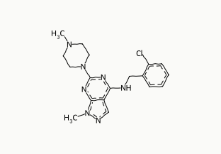 CN1CCN(c2nc(NCc3ccccc3Cl)c3cnn(C)c3n2)CC1